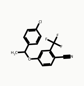 CC(Oc1ccc(C#N)c(C(F)(F)F)c1)c1ccc(Cl)cc1